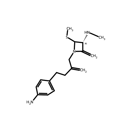 C=C(CCc1ccc(N)cc1)CN1C(=C)[C@@H](NC)C1SC